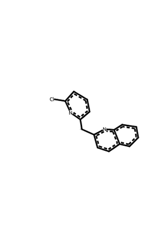 Clc1cccc([CH]c2ccc3ccccc3n2)n1